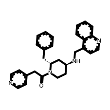 O=C(Cc1ccncc1)N1CC[C@H](NCc2ccnc3ccccc23)C[C@H]1Cc1ccccc1